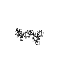 CC(=O)c1ccn(C(=O)N2CCC3(CCN(Cc4ccc(Cl)cc4N4CCCC4)C3)CC2)n1